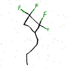 CCCC1CC(F)(F)C1(F)F